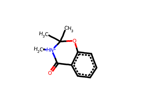 [CH2-][NH+]1C(=O)c2ccccc2OC1(C)C